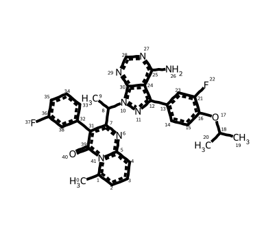 Cc1cccc2nc(C(C)n3nc(-c4ccc(OC(C)C)c(F)c4)c4c(N)ncnc43)c(-c3cccc(F)c3)c(=O)n12